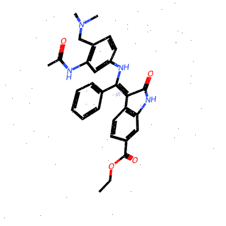 CCOC(=O)c1ccc2c(c1)NC(=O)/C2=C(\Nc1ccc(CN(C)C)c(NC(C)=O)c1)c1ccccc1